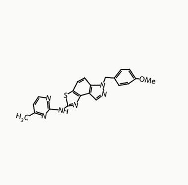 COc1ccc(Cn2ncc3c4nc(Nc5nccc(C)n5)sc4ccc32)cc1